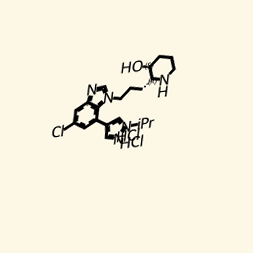 CC(C)n1cc(-c2cc(Cl)cc3ncn(CCC[C@H]4NCCC[C@@H]4O)c23)cn1.Cl.Cl